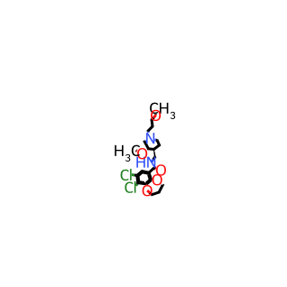 COCCCN1CC[C@@H](CNC(=O)c2cc(Cl)c(Cl)c3c2OCCCO3)[C@H](OC)C1